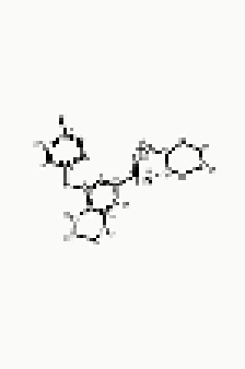 Cc1ccc(Cc2cc(C(=O)N[C@H]3COCC[C@@H]3O)nc3c2OCCO3)cn1